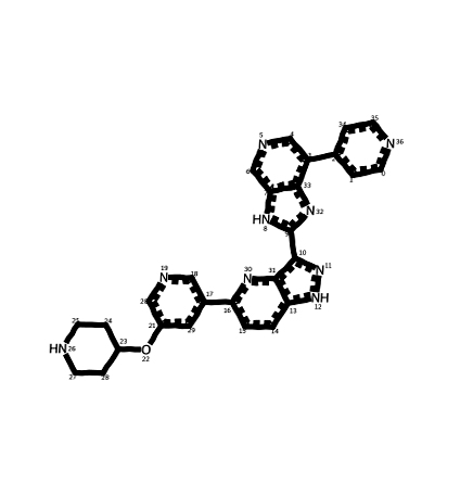 c1cc(-c2cncc3[nH]c(-c4n[nH]c5ccc(-c6cncc(OC7CCNCC7)c6)nc45)nc23)ccn1